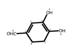 O=CC1=CC(O)=C(O)CC1